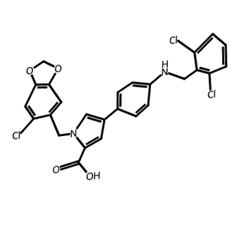 O=C(O)c1cc(-c2ccc(NCc3c(Cl)cccc3Cl)cc2)cn1Cc1cc2c(cc1Cl)OCO2